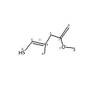 C=C(C/C(C)=C/S)OC